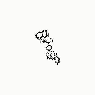 O=C(Nc1nccc2cccnc12)c1ccc(S(=O)(=O)Nc2nccs2)cc1